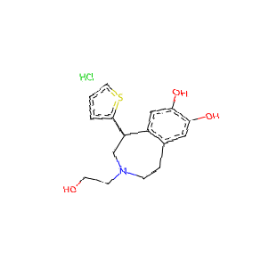 Cl.OCCN1CCc2cc(O)c(O)cc2C(c2cccs2)C1